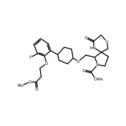 COC(=O)N1CCC2(COCC(=O)N2)C1COC1CCC(c2cccc(F)c2OCCC(=O)OC(C)(C)C)CC1